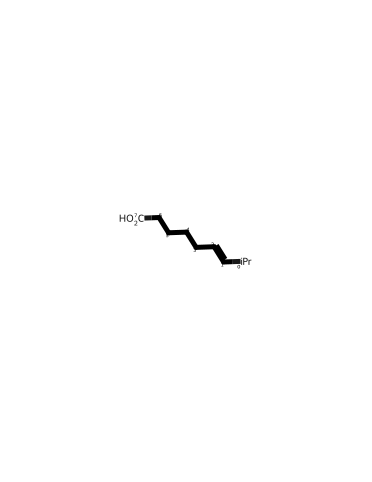 CC(C)C=CCCCCC(=O)O